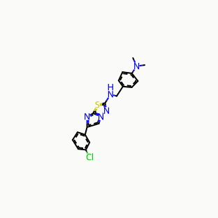 CN(C)c1ccc(CNc2nn3cc(-c4cccc(Cl)c4)nc3s2)cc1